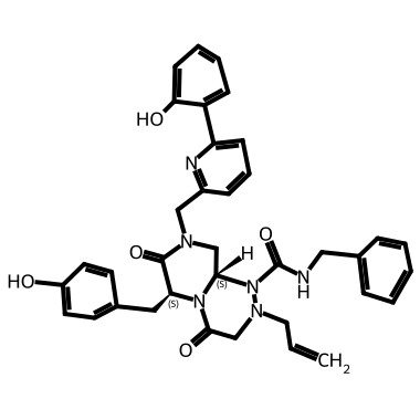 C=CCN1CC(=O)N2[C@@H](Cc3ccc(O)cc3)C(=O)N(Cc3cccc(-c4ccccc4O)n3)C[C@@H]2N1C(=O)NCc1ccccc1